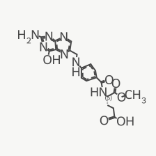 COC(=O)[C@H](CCC(=O)O)NC(=O)c1ccc(NCc2cnc3nc(N)nc(O)c3n2)cc1